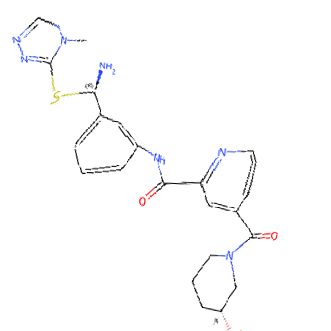 Cn1cnnc1S[C@@H](N)c1cccc(NC(=O)c2cc(C(=O)N3CCC[C@@H](O)C3)ccn2)c1